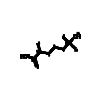 C=C(O)C(C)CCCC(C)(C)O